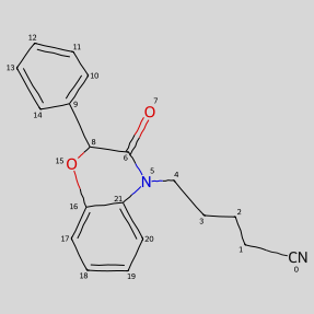 N#CCCCCN1C(=O)C(c2ccccc2)Oc2ccccc21